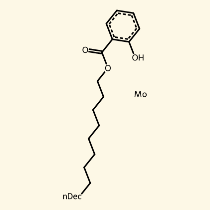 CCCCCCCCCCCCCCCCCCOC(=O)c1ccccc1O.[Mo]